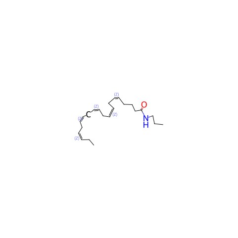 CC/C=C\C/C=C\C/C=C\C/C=C\C/C=C\CCCC(=O)NCCC